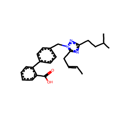 C/C=C/Cc1nc(CCC(C)C)nn1Cc1ccc(-c2ccccc2C(=O)O)cc1